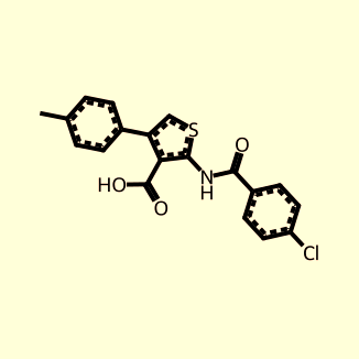 Cc1ccc(-c2csc(NC(=O)c3ccc(Cl)cc3)c2C(=O)O)cc1